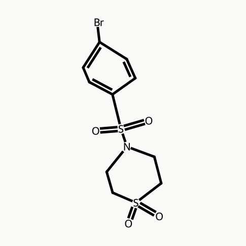 O=S1(=O)CCN(S(=O)(=O)c2ccc(Br)cc2)CC1